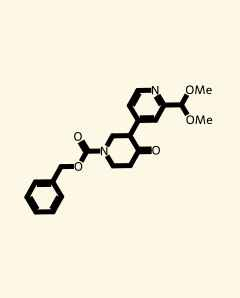 COC(OC)c1cc(C2CN(C(=O)OCc3ccccc3)CCC2=O)ccn1